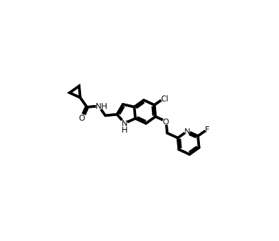 O=C(NCc1cc2cc(Cl)c(OCc3cccc(F)n3)cc2[nH]1)C1CC1